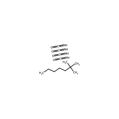 CCCCCC(C)(C)C.N=C=O.N=C=O.N=C=O.N=C=O